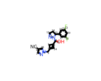 N#Cc1cnn(CC23CC(C(O)N4N=CCC4c4cc(F)cc(F)c4)(C2)C3)c1